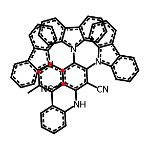 Cc1ccccc1-c1ccccc1Nc1c(C#N)c(-n2c3ccccc3c3ccccc32)c(-n2c3ccccc3c3ccccc32)c(-n2c3ccccc3c3ccccc32)c1C#N